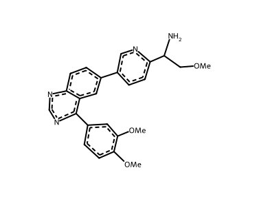 COCC(N)c1ccc(-c2ccc3ncnc(-c4ccc(OC)c(OC)c4)c3c2)cn1